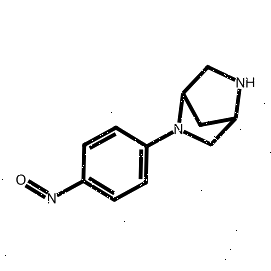 O=Nc1ccc(N2CC3CC2CN3)cc1